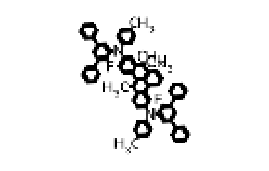 Cc1ccc(N(c2ccc3c(c2)C(C)(C)c2cccc4c2c-3c(C)c2ccc(N(c3ccc(C)cc3)c3cc(-c5ccccc5)cc(-c5ccccc5)c3F)cc24)c2cc(-c3ccccc3)cc(-c3ccccc3)c2F)cc1